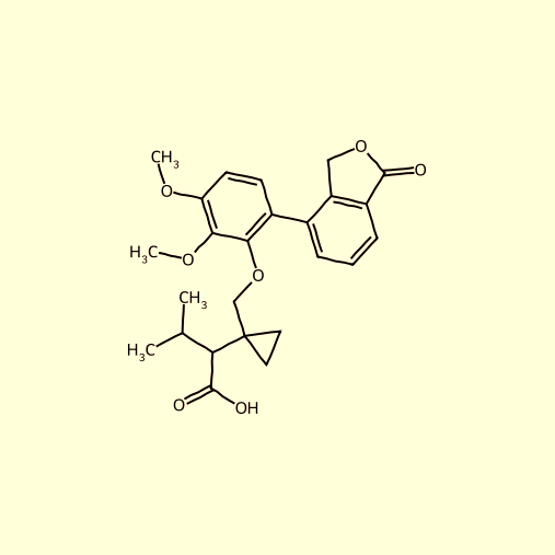 COc1ccc(-c2cccc3c2COC3=O)c(OCC2(C(C(=O)O)C(C)C)CC2)c1OC